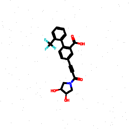 O=C(O)c1cc(C#CC(=O)N2C[C@@H](O)[C@@H](O)C2)ccc1-c1ccccc1C(F)(F)F